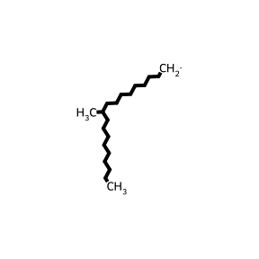 [CH2]CCCCCCCCC(C)CCCCCCCCC